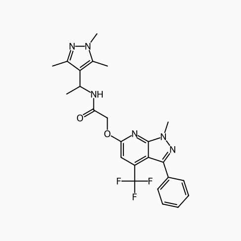 Cc1nn(C)c(C)c1C(C)NC(=O)COc1cc(C(F)(F)F)c2c(-c3ccccc3)nn(C)c2n1